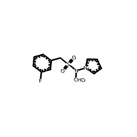 O=[C]N(n1cccc1)S(=O)(=O)Cc1cccc(F)c1